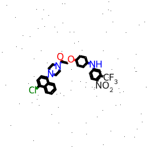 O=C(COC1CCC(Nc2ccc([N+](=O)[O-])c(C(F)(F)F)c2)CC1)N1CCN(c2ccc(Cl)c3ccccc23)CC1